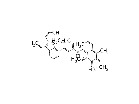 C=C/C(=C\C(=C/C)C(=C)/C=c1c(/C=C\C)c(C)c(=C/C)/c(=C\C)c/1=C/C)c1cccc2c(C=C)c(/C=C\C)sc12